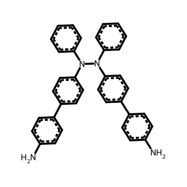 Nc1ccc(-c2ccc(N(c3ccccc3)N(c3ccccc3)c3ccc(-c4ccc(N)cc4)cc3)cc2)cc1